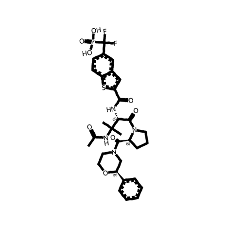 CC(=O)NC(C)(C)[C@H](NC(=O)c1cc2cc(C(F)(F)P(=O)(O)O)ccc2s1)C(=O)N1CCC[C@H]1C(=O)N1CCO[C@H](c2ccccc2)C1